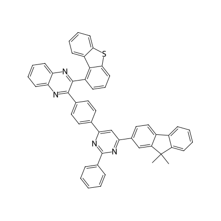 CC1(C)c2ccccc2-c2ccc(-c3cc(-c4ccc(-c5nc6ccccc6nc5-c5cccc6sc7ccccc7c56)cc4)nc(-c4ccccc4)n3)cc21